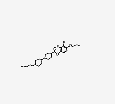 CCCCCC1CCC(C2CCC(C(=O)Oc3ccc(OCCC)c(F)c3F)CC2)CC1